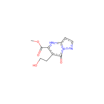 COC(=O)c1[nH]c2ccnn2c(=O)c1CCO